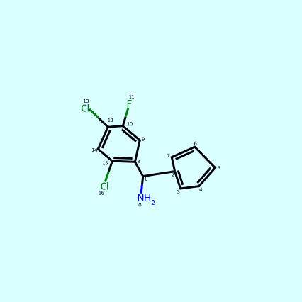 NC(c1ccccc1)c1cc(F)c(Cl)cc1Cl